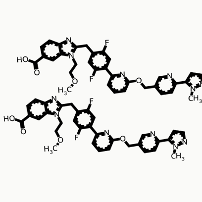 COCCn1c(Cc2cc(F)c(-c3cccc(OCc4ccc(-c5ccnn5C)nc4)n3)cc2F)nc2ccc(C(=O)O)cc21.COCCn1c(Cc2cc(F)c(-c3cccc(OCc4ccc(-c5ccnn5C)nc4)n3)cc2F)nc2ccc(C(=O)O)cc21